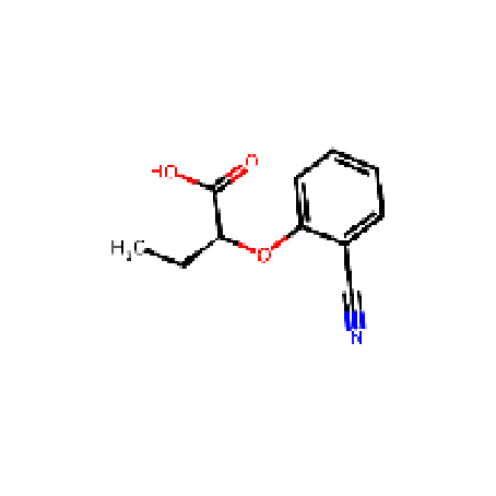 CC[C@H](Oc1ccccc1C#N)C(=O)O